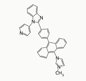 C[n+]1ccn(-c2c3ccccc3c(-c3ccc(-c4nc5ccccc5n4-c4ccncc4)cc3)c3ccccc23)c1